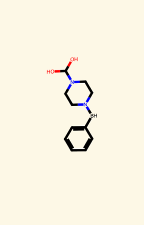 OC(O)N1CCN(Bc2ccccc2)CC1